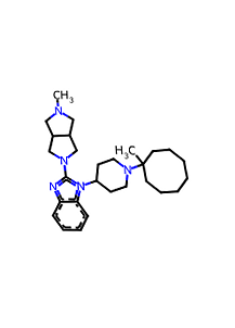 CN1CC2CN(c3nc4ccccc4n3C3CCN(C4(C)CCCCCCC4)CC3)CC2C1